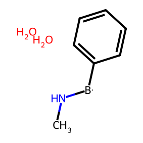 CN[B]c1ccccc1.O.O